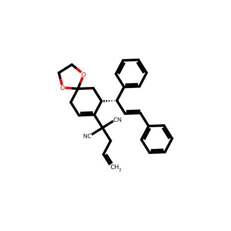 C=CCC(C#N)(C#N)C1=CCC2(CC1[C@@H](/C=C/c1ccccc1)c1ccccc1)OCCO2